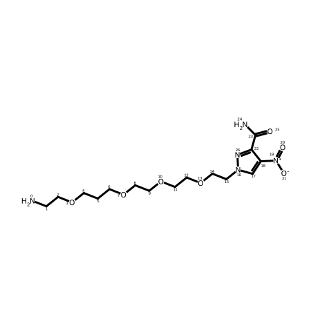 NCCOCCCOCCOCCOCCn1cc([N+](=O)[O-])c(C(N)=O)n1